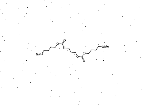 COCCCCOC(=O)OCCCOC(=O)OCCCCOC